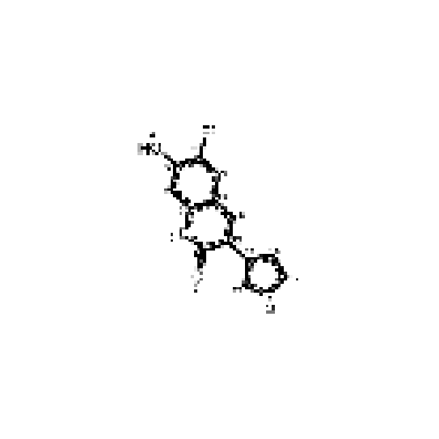 O=c1oc2cc(O)c(F)cc2cc1-c1ccsc1